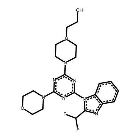 OCCN1CCN(c2nc(N3CCOCC3)nc(-n3c(C(F)F)nc4ccccc43)n2)CC1